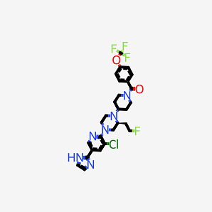 O=C(c1ccc(OC(F)(F)F)cc1)N1CCC(N2CCN(c3ncc(-c4ncc[nH]4)cc3Cl)C[C@@H]2CCF)CC1